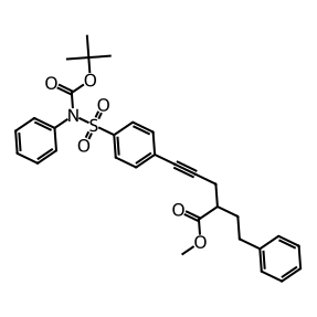 COC(=O)C(CC#Cc1ccc(S(=O)(=O)N(C(=O)OC(C)(C)C)c2ccccc2)cc1)CCc1ccccc1